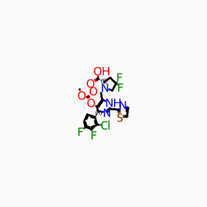 COC(=O)OC1=C(CN2CC(F)(F)C[C@H]2C(=O)O)NC(c2nccs2)=N[C@@H]1c1ccc(F)c(F)c1Cl